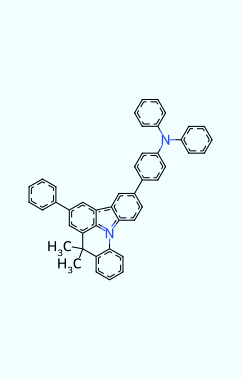 CC1(C)c2ccccc2-n2c3ccc(-c4ccc(N(c5ccccc5)c5ccccc5)cc4)cc3c3cc(-c4ccccc4)cc1c32